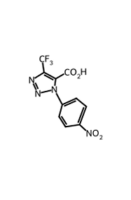 O=C(O)c1c(C(F)(F)F)nnn1-c1ccc([N+](=O)[O-])cc1